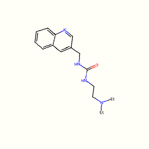 CCN(CC)CCNC(=O)NCc1cnc2ccccc2c1